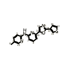 Cc1ccc(Nc2cccc(-c3cnc(-c4ccsc4)o3)n2)nc1